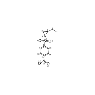 CCC1CN1S(=O)(=O)c1ccc([N+](=O)[O-])cc1